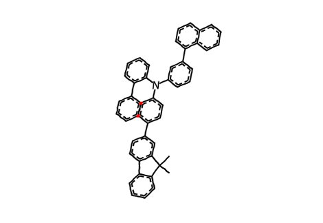 CC1(C)c2ccccc2-c2ccc(-c3ccc(N(c4cccc(-c5cccc6ccccc56)c4)c4ccccc4-c4ccccc4)cc3)cc21